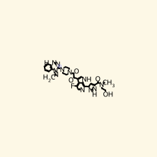 C=NN(/C(=N\N)N1CCN(C(=O)C(=O)c2c[nH]c3c(-c4cc(C(=O)N(C)CCO)[nH]n4)ncc(F)c23)CC1)c1ccccc1